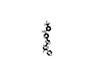 Fc1cnc(-c2nc(-c3ccc(Nc4cccc(C(F)(F)F)c4)cn3)co2)nc1N1CCOCC1